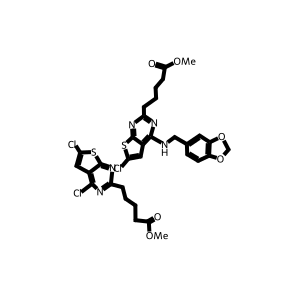 COC(=O)CCCCc1nc(Cl)c2cc(Cl)sc2n1.COC(=O)CCCCc1nc(NCc2ccc3c(c2)OCO3)c2cc(Cl)sc2n1